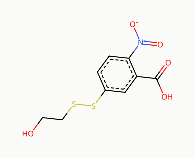 O=C(O)c1cc(SSCCO)ccc1[N+](=O)[O-]